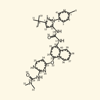 Cc1ccc(-n2nc(C(C)(C)C)cc2NC(=O)Nc2ccc(Oc3ccnc(NC(=O)N(C)C)n3)c3ccccc23)cc1